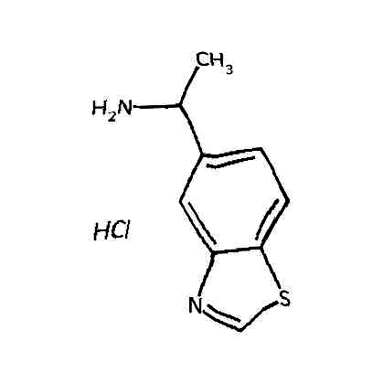 CC(N)c1ccc2scnc2c1.Cl